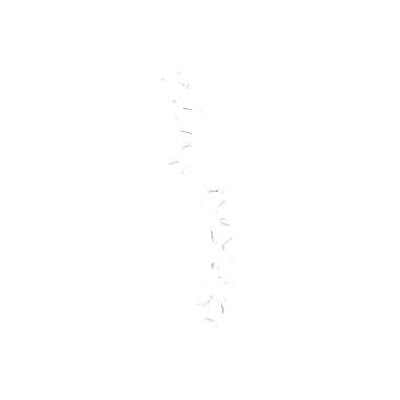 O=C(Nc1ccc(C(=O)N2CC(c3ncc(-c4ccc(CNC(O)Cc5ccccc5)cc4)s3)C2)s1)[C@@H]1CCCN1